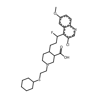 COc1ccc2ncc(Cl)c(C(F)CCC3CCN(CCSC4CCCCC4)CC3C(=O)O)c2c1